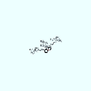 C[Si](C)(C)OCCOC1=[C]([Zr]([CH3])([CH3])(=[SiH2])[C]2=C(OCCO[Si](C)(C)C)C=CC2)CC=C1.Cl.Cl